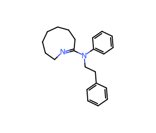 c1ccc(CCN(/C2=N\CCCCCCC2)c2ccccc2)cc1